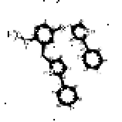 COc1ccc(Br)cc1Cc1ccc(-c2ccccc2)s1.c1ccc(-c2cccs2)cc1